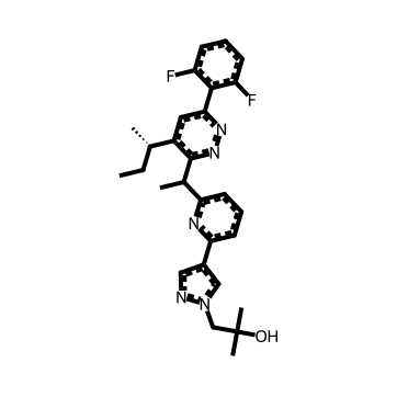 CC[C@H](C)c1cc(-c2c(F)cccc2F)nnc1C(C)c1cccc(-c2cnn(CC(C)(C)O)c2)n1